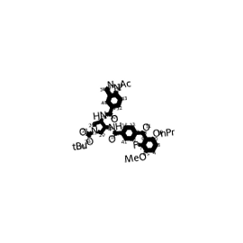 CCCOc1ccc(OC)c(F)c1C(=O)c1ccc(C(=O)NC2CN(C(=O)OC(C)(C)C)CC2NC(=O)c2ccc3c(cnn3C(C)=O)c2)cc1